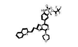 C[N+]1(OC(=O)C(F)(F)F)c2cc(-c3cnc(N4CCOCC4)c4nc(/C=C/c5ccc6ccccc6n5)cn34)ccc2NS1(=O)=O